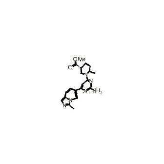 COC(=O)[C@H]1CCC(C)N(c2cc(-c3ccc4cnc(C)n4c3)nc(N)n2)C1